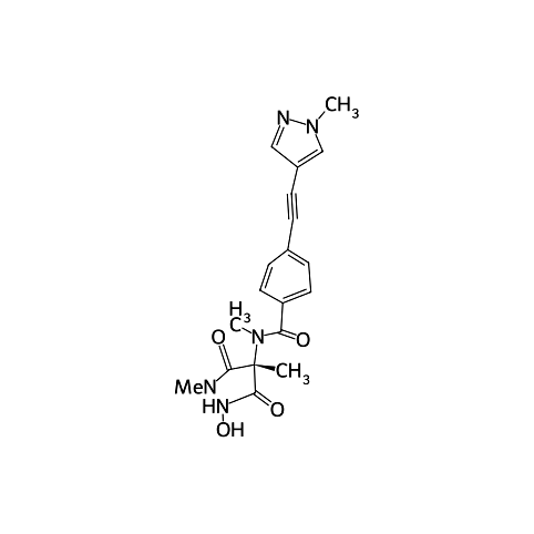 CNC(=O)[C@@](C)(C(=O)NO)N(C)C(=O)c1ccc(C#Cc2cnn(C)c2)cc1